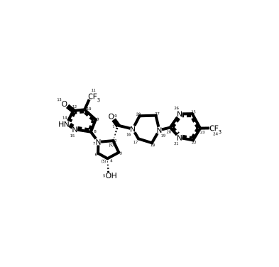 O=C([C@@H]1C[C@H](O)CN1c1cc(C(F)(F)F)c(=O)[nH]n1)N1CCN(c2ncc(C(F)(F)F)cn2)CC1